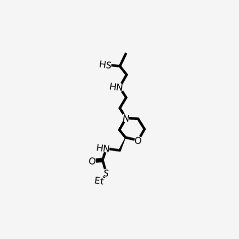 CCSC(=O)NC[C@H]1CN(CCNCC(C)S)CCO1